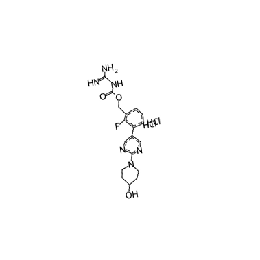 Cl.Cl.N=C(N)NC(=O)OCc1cccc(-c2cnc(N3CCC(O)CC3)nc2)c1F